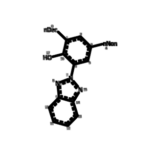 CCCCCCCCCCc1cc(CCCCCCCCC)cc(-n2nc3ccccc3n2)c1O